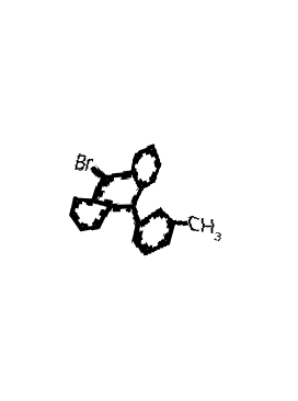 Cc1cccc(-c2c3ccccc3c(Br)c3ccccc23)c1